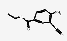 CCOC(=O)c1ccc(N)c(C#N)c1